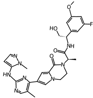 COc1cc(F)cc([C@@H](CO)NC(=O)[C@@H](C)N2CCn3cc(-c4nc(Nc5ccnn5C)ncc4C)cc3C2=O)c1